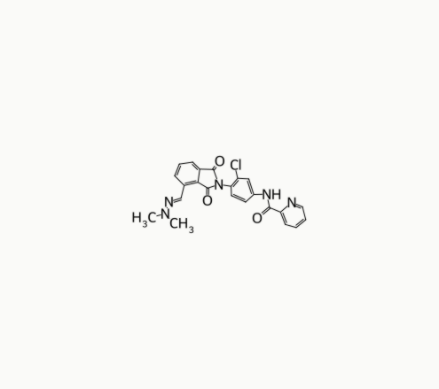 CN(C)N=Cc1cccc2c1C(=O)N(c1ccc(NC(=O)c3ccccn3)cc1Cl)C2=O